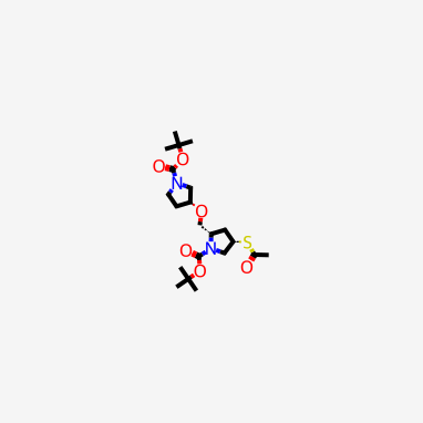 CC(=O)S[C@H]1C[C@@H](CO[C@@H]2CCN(C(=O)OC(C)(C)C)C2)N(C(=O)OC(C)(C)C)C1